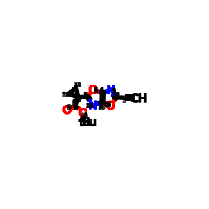 C#Cc1nc2oc(C3(C(=O)OC(C)(C)C)CC3)nc2o1